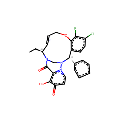 CC[C@H]1/C=C/COc2c(ccc(Cl)c2F)[C@H](c2ccccc2)N2CN1C(=O)c1c(O)c(=O)ccn12